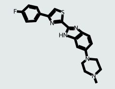 CN1CCN(c2ccc3nc(-c4nc(-c5ccc(F)cc5)cs4)[nH]c3c2)CC1